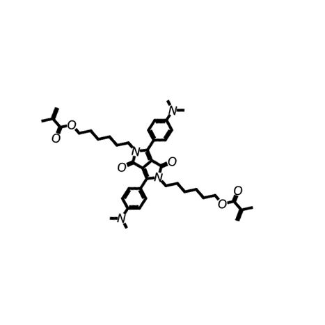 C=C(C)C(=O)OCCCCCCN1C(=O)C2=C(c3ccc(N(C)C)cc3)N(CCCCCCOC(=O)C(=C)C)C(=O)C2=C1c1ccc(N(C)C)cc1